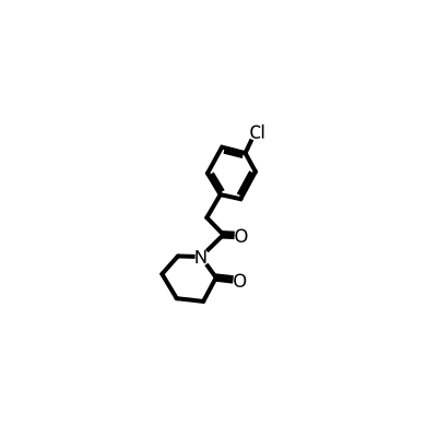 O=C1CCCCN1C(=O)Cc1ccc(Cl)cc1